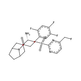 N[C@H](Cc1cc(F)c(F)cc1F)C1CC2CCC(C1)N2C(=O)CCS(=O)(=O)c1nccc(CF)n1